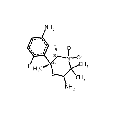 CC1(C)C(N)S[C@](C)(c2cc(N)ccc2F)[C@H](F)[N+]1([O-])[O-]